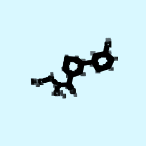 CON(C)C(=O)c1cccc(-c2cccc(Cl)c2)c1